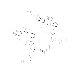 COc1nc(-c2cccc(-c3ccnc(-c4cc(OC)c5nc(C=O)nn5c4)c3Cl)c2Cl)ccc1CN(C(=O)OC(C)(C)C)C1CCN(C(C)=O)CC1.COc1nc(-c2cccc(-c3ccnc(-c4cc(OC)c5nc(CNCC6(O)CC6)nn5c4)c3Cl)c2Cl)ccc1CN(C(=O)OC(C)(C)C)C1CCN(C(C)=O)CC1